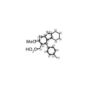 COc1nc2sc3c(c2c(-c2ccc(C)cc2)c1CC(=O)O)CCCC3